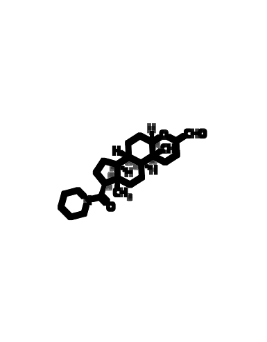 C[C@]12CCC(C=O)O[C@@H]1CC[C@@H]1[C@@H]2CC[C@]2(C)[C@@H](C(=O)N3CCCCC3)CC[C@@H]12